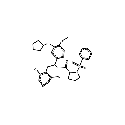 COc1ccc(C(Cc2c(Cl)cncc2Cl)OC(=O)[C@@H]2CCCN2S(=O)(=O)c2ccccc2)cc1OC1CCCC1